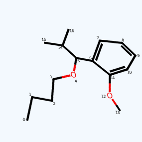 CCCCOC(c1ccccc1OC)C(C)C